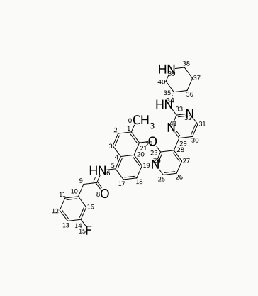 Cc1ccc2c(NC(=O)Cc3cccc(F)c3)cccc2c1Oc1ncccc1-c1ccnc(N[C@H]2CCCNC2)n1